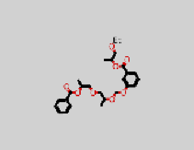 CCOCC(C)OC(=O)c1cccc(OCOC(C)COCC(C)OC(=O)c2ccccc2)c1